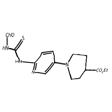 CCOC(=O)C1CCN(c2ccc(NC(=S)NC=O)nc2)CC1